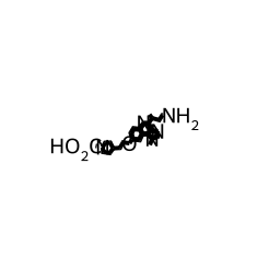 CC(CCN)c1nc2ccc(OCCC3CCN(C(=O)O)CC3)cc2c2c1ncn2C